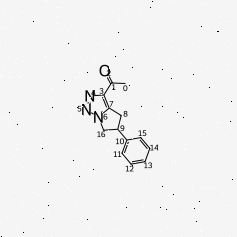 CC(=O)c1nnn2c1CC(c1ccccc1)C2